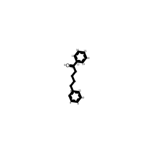 O=C(CCCCc1ccccc1)c1cc[c]cc1